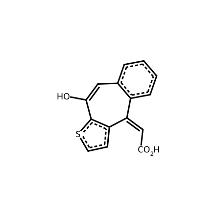 O=C(O)/C=C1/c2ccccc2C=C(O)c2sccc21